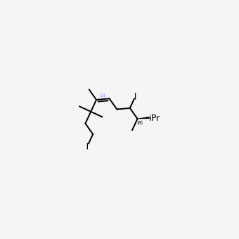 C/C(=C/CC(I)[C@H](C)C(C)C)C(C)(C)CCI